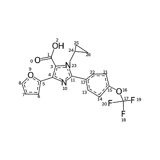 O=C(O)c1c(-c2ccco2)nc(-c2ccc(OC(F)(F)F)cc2)n1C1CC1